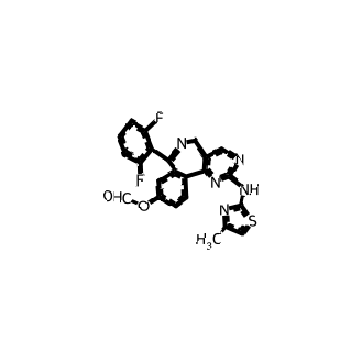 Cc1csc(Nc2ncc3c(n2)-c2ccc(OC=O)cc2C(c2c(F)cccc2F)=NC3)n1